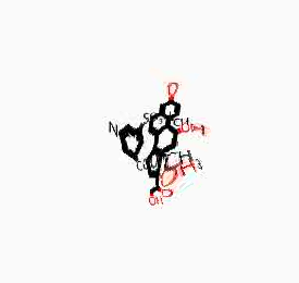 C[C@]12C=CC(=O)C=C1CCC1C2C(O)C[C@@]2(C)C1CC[C@]2(O)C(=O)CO.O=C([O-])c1cccc(S(=O)(=O)O)c1.[Na+]